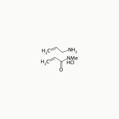 C=CC(=O)NC.C=CCN.Cl